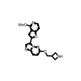 COc1nccc2oc(-c3cnc4ccc(OCC5CNC5)nn34)cc12